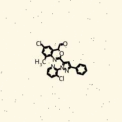 Cc1cc(Cl)cc2c1N=C(c1cc(-c3ccccc3)nn1-c1ncccc1Cl)OC2C=O